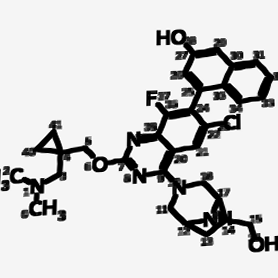 CN(C)CC1(COc2nc(N3CC4CC(CO)C(C3)N4)c3cc(Cl)c(-c4cc(O)cc5ccccc45)c(F)c3n2)CC1